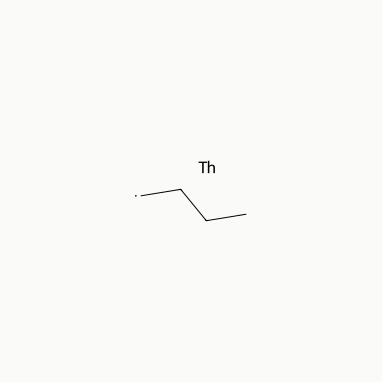 [CH2]CCC.[Th]